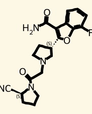 N#C[C@@H]1CCCN1C(=O)CN1CC[C@H](c2oc3c(F)cccc3c2C(N)=O)C1